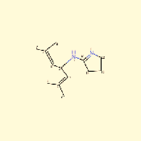 CC(C)=CC(C=C(C)C)NC1=NCCC1